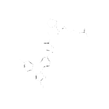 CCC(=O)OCO/N=[N+](\[O-])N1CCC[C@H]1COC(=O)NS(=O)(=O)c1ccc(-n2nc(C(F)(F)F)cc2-c2ccc(C)cc2)cc1